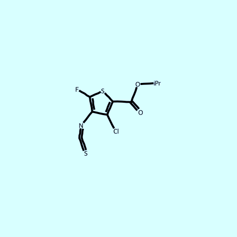 CC(C)OC(=O)c1sc(F)c(N=C=S)c1Cl